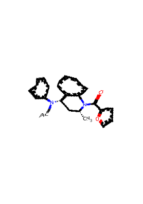 CC(=O)N(c1ccccc1)[C@H]1C[C@@H](C)N(C(=O)c2ccco2)c2ccccc21